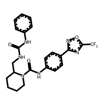 O=C(NCC1CCCCN1C(=O)Nc1ccc(-c2noc(C(F)(F)F)n2)cc1)Nc1ccccc1